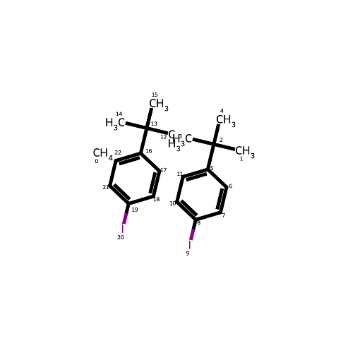 C.CC(C)(C)c1ccc(I)cc1.CC(C)(C)c1ccc(I)cc1